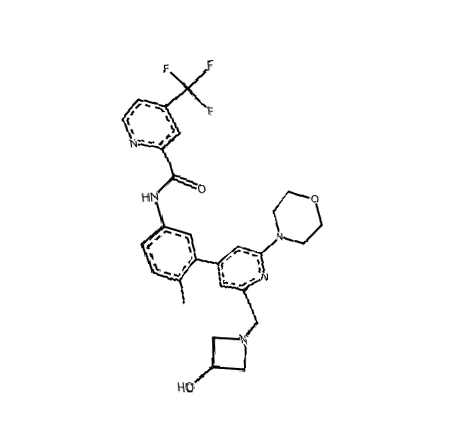 Cc1ccc(NC(=O)c2cc(C(F)(F)F)ccn2)cc1-c1cc(CN2CC(O)C2)nc(N2CCOCC2)c1